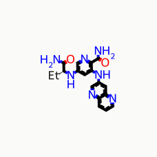 CC[C@@H](Nc1cnc(C(N)=O)c(Nc2cnc3cccnc3c2)c1)C(N)=O